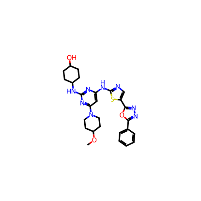 COC1CCN(c2cc(Nc3ncc(-c4nnc(-c5ccccc5)o4)s3)nc(NC3CCC(O)CC3)n2)CC1